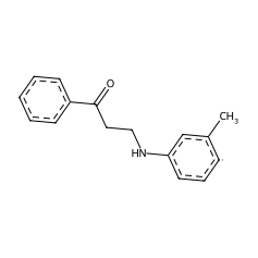 Cc1[c]ccc(NCCC(=O)c2ccccc2)c1